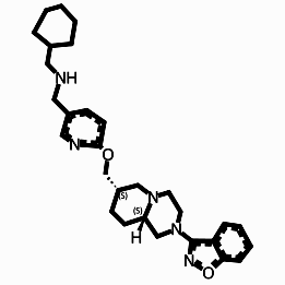 c1ccc2c(N3CCN4C[C@@H](COc5ccc(CNCC6CCCCC6)cn5)CC[C@H]4C3)noc2c1